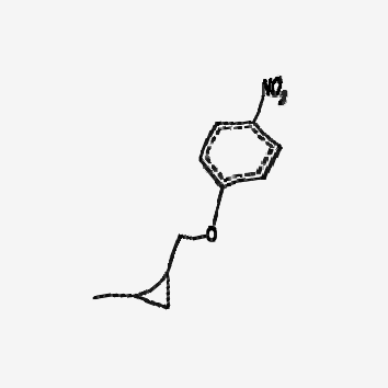 CC1CC1COc1ccc([N+](=O)[O-])cc1